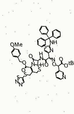 COc1ccc(COC(=O)C2=C(CSc3cnns3)CS[C@H]3[C@H](NC(=O)/C(=N\O[C@@H](C(=O)OC(C)(C)C)c4cccnc4)c4csc(NC(c5ccccc5)(c5ccccc5)c5ccccc5)n4)C(=O)N23)cc1